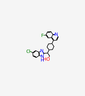 OCC(c1nc2cc(Cl)ccc2[nH]1)C1CCC(c2ccnc3ccc(F)cc23)CC1